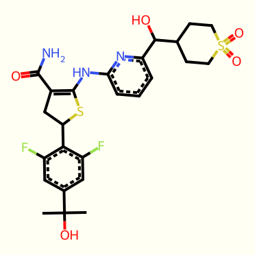 CC(C)(O)c1cc(F)c(C2CC(C(N)=O)=C(Nc3cccc(C(O)C4CCS(=O)(=O)CC4)n3)S2)c(F)c1